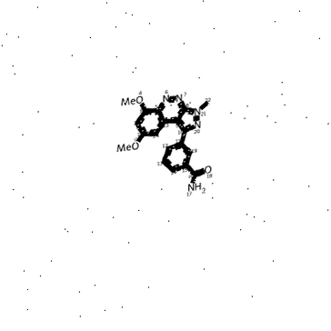 COc1cc(OC)c2nnc3c(c(-c4cccc(C(N)=O)c4)nn3C)c2c1